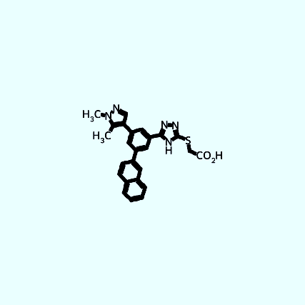 Cc1c(-c2cc(-c3ccc4ccccc4c3)cc(-c3nnc(SCC(=O)O)[nH]3)c2)cnn1C